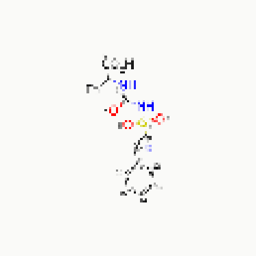 CCC(NC(=O)NS(=O)(=O)/C=C/c1ccccc1)C(=O)O